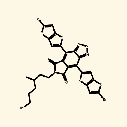 CC(C)CCCC(C)CCN1C(=O)c2c(c(-c3cc4sc(Br)cc4s3)c3nsnc3c2-c2cc3sc(Br)cc3s2)C1=O